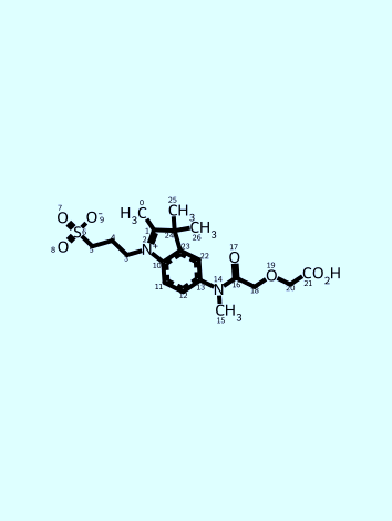 CC1=[N+](CCCS(=O)(=O)[O-])c2ccc(N(C)C(=O)COCC(=O)O)cc2C1(C)C